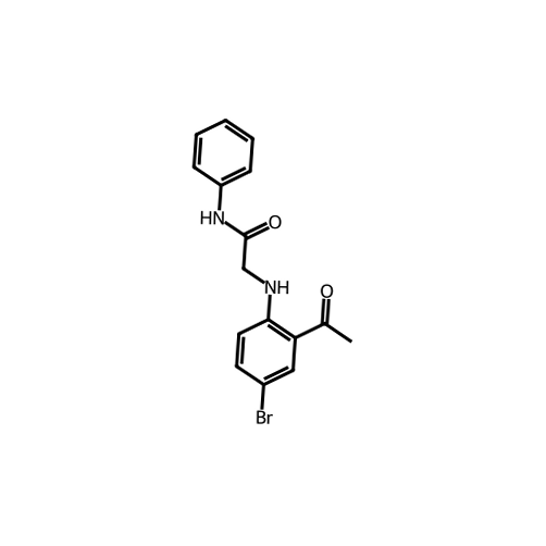 CC(=O)c1cc(Br)ccc1NCC(=O)Nc1ccccc1